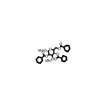 CCCCOC1C(OC(=O)c2ccccc2)[C@H](OC)OC(COC(=O)c2ccccc2)[C@H]1OC(=O)c1ccccc1